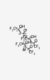 O=C(C=C(O)C(F)(F)F)C(F)(F)F.O=C(C=C(O)C(F)(F)F)C(F)(F)F.O=C(C=C(O)C(F)(F)F)C(F)(F)F.[Al]